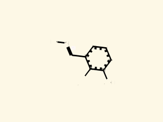 O/N=C/c1cccc(O)c1O